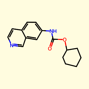 O=C(Nc1ccc2ccncc2c1)OC1CCCCC1